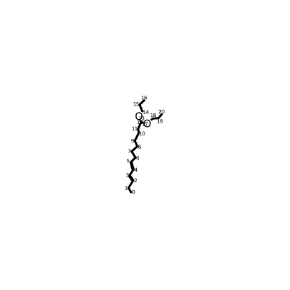 CCC=CC=CCCCCCCC(OCCC)OCCC